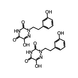 O=c1[nH]c(=O)n(CCc2cccc(O)c2)nc1O.O=c1[nH]c(=O)n(CCc2cccc(O)c2)nc1O